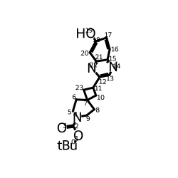 CC(C)(C)OC(=O)N1CCC2(CC1)CC(c1cnc3ccc(O)cc3n1)C2